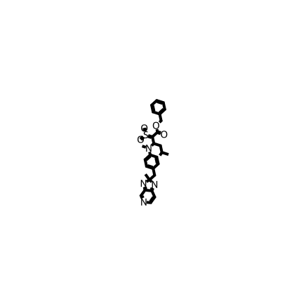 CC(C)CC(C(C(=O)OCc1ccccc1)=S(=O)=O)N(C)c1ccc(CC2(C)N=c3ccncc3=N2)cc1